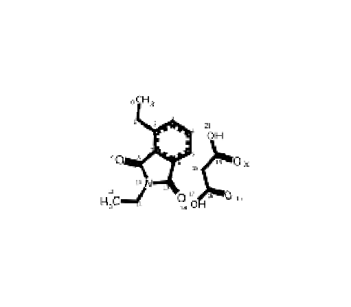 CCc1cccc2c1C(=O)N(CC)C2=O.O=C(O)CC(=O)O